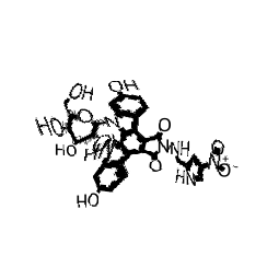 O=C1c2c(c3c4ccc(O)cc4n([C@@H]4O[C@H](CO)[C@@H](O)[C@H](O)[C@H]4O)c3c3[nH]c4cc(O)ccc4c23)C(=O)N1NCc1cc([N+](=O)[O-])c[nH]1